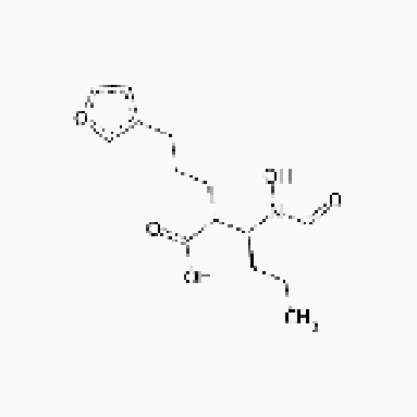 CCC[C@@H]([C@@H](CCCc1ccoc1)C(=O)O)N(O)C=O